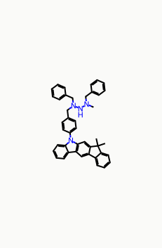 CN(Cc1ccccc1)NN(Cc1ccccc1)Cc1ccc(-n2c3ccccc3c3cc4c(cc32)C(C)(C)c2ccccc2-4)cc1